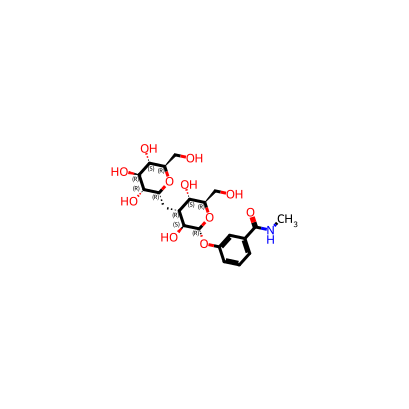 CNC(=O)c1cccc(O[C@H]2O[C@H](CO)[C@@H](O)[C@@H](C[C@H]3O[C@H](CO)[C@@H](O)[C@H](O)[C@H]3O)[C@@H]2O)c1